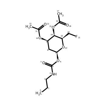 CCCNC(=O)O[C@H]1C[C@@H](OC(C)=O)[C@@H](OC(C)=O)[C@@H](CF)O1